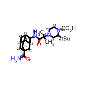 CC(C)(C)C1CN(C(C)(C)C(=O)NC2C3CC4CC2CC(C(N)=O)(C4)C3)CCN1C(=O)O